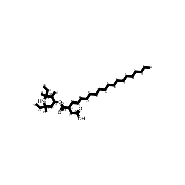 CCCCCCCCCCCCCCCCC=CC(CC(=O)O)C(=O)OC1CC(C)(CC)NC(C)(CC)C1C